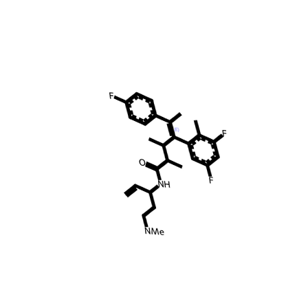 C=CC(CCNC)NC(=O)C(C)C(C)/C(=C(/C)c1ccc(F)cc1)c1cc(F)cc(F)c1C